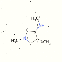 CNC1CN(C)CC1C